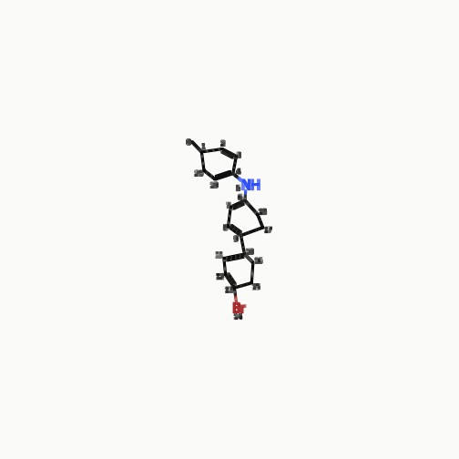 CC1C=CC(NC2=CC=C(C3=CC=C(Br)CC3)CC2)=CC1